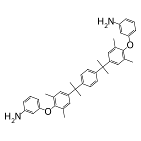 Cc1cc(C(C)(C)c2ccc(C(C)(C)c3cc(C)c(Oc4cccc(N)c4)c(C)c3)cc2)cc(C)c1Oc1cccc(N)c1